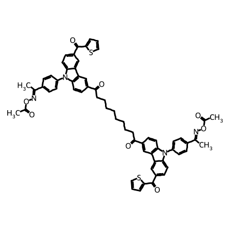 CC(=O)ON=C(C)c1ccc(-n2c3ccc(C(=O)CCCCCCCCC(=O)c4ccc5c(c4)c4cc(C(=O)c6cccs6)ccc4n5-c4ccc(C(C)=NOC(C)=O)cc4)cc3c3cc(C(=O)c4cccs4)ccc32)cc1